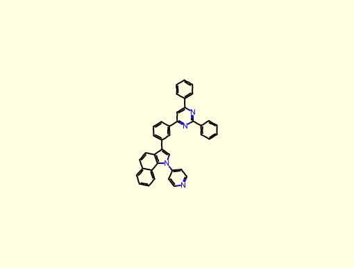 c1ccc(-c2cc(-c3cccc(-c4cn(-c5ccncc5)c5c4ccc4ccccc45)c3)nc(-c3ccccc3)n2)cc1